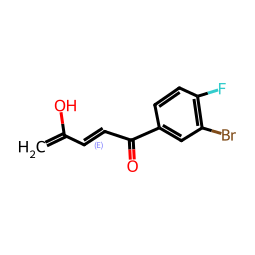 C=C(O)/C=C/C(=O)c1ccc(F)c(Br)c1